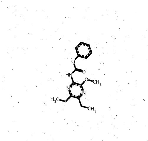 CCc1nc(NC(=O)Oc2ccccc2)c(OC)nc1CC